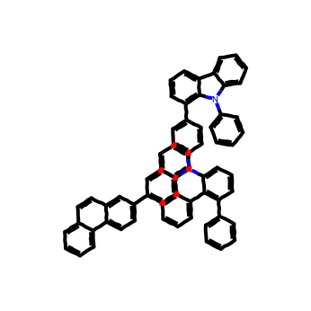 c1ccc(-c2ccccc2-c2c(-c3ccccc3)cccc2N(c2ccc(-c3ccc4c(ccc5ccccc54)c3)cc2)c2ccc(-c3cccc4c5ccccc5n(-c5ccccc5)c34)cc2)cc1